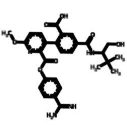 COc1ccc(-c2ccc(C(=O)NC(CO)C(C)(C)C)cc2C(=O)O)c(C(=O)Oc2ccc(C(=N)N)cc2)n1